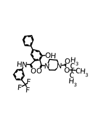 CC(C)(C)OC(=O)N1CCN(C(=O)c2c(O)cc(-c3ccccc3)cc2C(=O)Nc2cccc(C(F)(F)F)c2)CC1